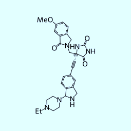 CCN1CCN(C2NCc3cc(C#C[C@]4(CN5Cc6ccc(OC)cc6C5=O)NC(=O)NC4=O)ccc32)CC1